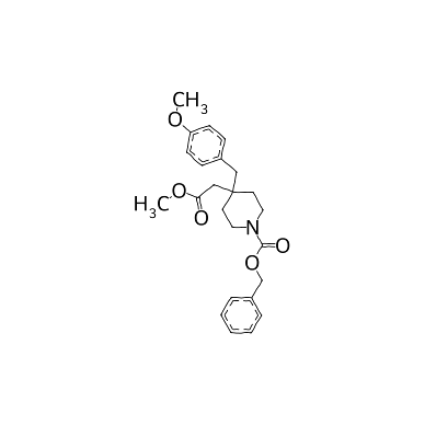 COC(=O)CC1(Cc2ccc(OC)cc2)CCN(C(=O)OCc2ccccc2)CC1